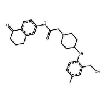 O=C(CN1CCC(Nc2ccc(F)cc2CO)CC1)Nc1ccc2c(c1)CCCC2=O